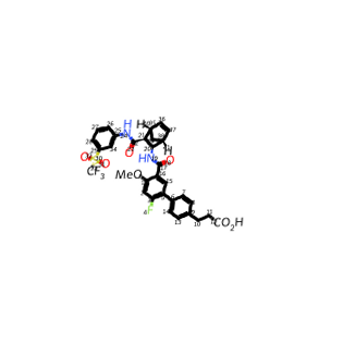 COc1cc(F)c(-c2ccc(CCC(=O)O)cc2)cc1C(=O)N[C@H]1[C@@H](C(=O)Nc2cccc(S(=O)(=O)C(F)(F)F)c2)[C@@H]2C=C[C@H]1C2